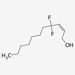 CCCCCCCC(F)(F)/C=C\CO